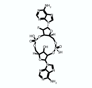 Nc1ncnc2c1ncn2C1O[C@@H]2COP(=O)(O)OC3C(F)[C@H](n4cnc5c(N)ncnc54)O[C@@H]3CO[P@@](=O)(S)OC1C2O